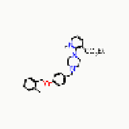 CCOC(=O)C1=C(N2CCN(Cc3ccc(OCc4ccccc4C)cc3)CC2)N(C)CC=C1